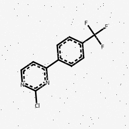 FC(F)(F)c1ccc(-c2ccnc(Cl)n2)cc1